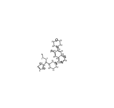 CCCC(c1nccs1)C1CCCN(c2ncnc3cc(N4CCOCC4)c(F)cc23)C1